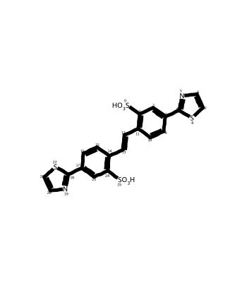 O=S(=O)(O)c1cc(-c2nccs2)ccc1C=Cc1ccc(-c2nccs2)cc1S(=O)(=O)O